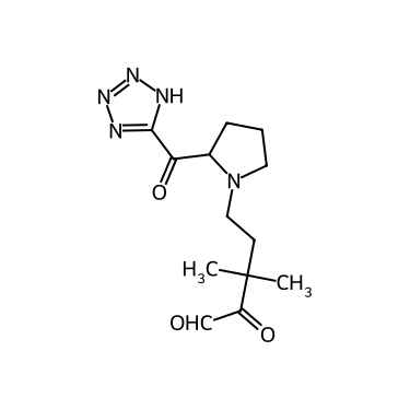 CC(C)(CCN1CCCC1C(=O)c1nnn[nH]1)C(=O)C=O